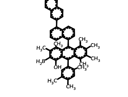 Bc1c(C)c(C)c2c(-c3cccc4c(-c5ccc6ccccc6c5)cccc34)c3c(C)c(C)c(C)c(C)c3c(-c3cc(C)c(C)cc3C)c2c1O